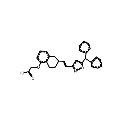 O=C(O)COc1cccc2c1CCC(C=Cc1cc(C(c3ccccc3)c3ccccc3)on1)C2